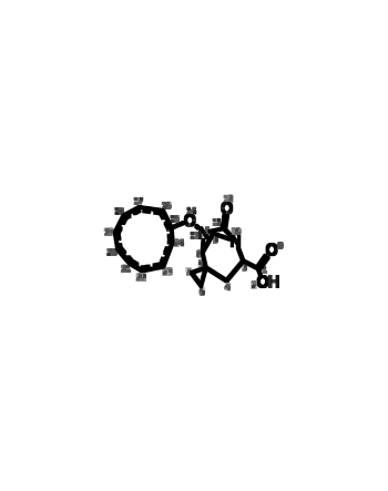 O=C(O)C1CC2(CC2)C2CN1C(=O)N2Oc1ccccccccc1